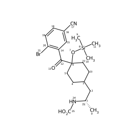 C[C@@H](CC1CCC(O[Si](C)(C)C)(C(=O)c2cc(C#N)ccc2Br)CC1)NC(=O)O